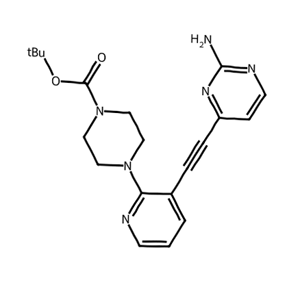 CC(C)(C)OC(=O)N1CCN(c2ncccc2C#Cc2ccnc(N)n2)CC1